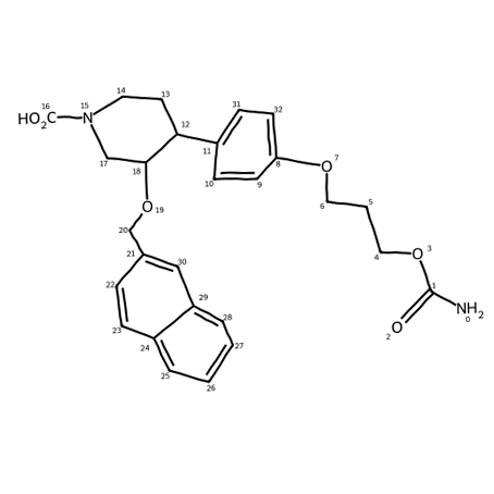 NC(=O)OCCCOc1ccc(C2CCN(C(=O)O)CC2OCc2ccc3ccccc3c2)cc1